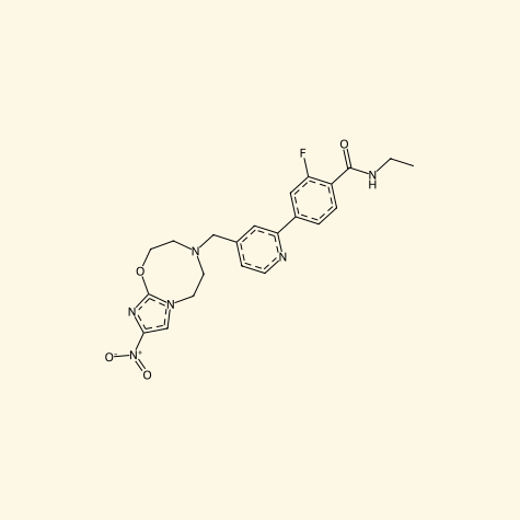 CCNC(=O)c1ccc(-c2cc(CN3CCOc4nc([N+](=O)[O-])cn4CC3)ccn2)cc1F